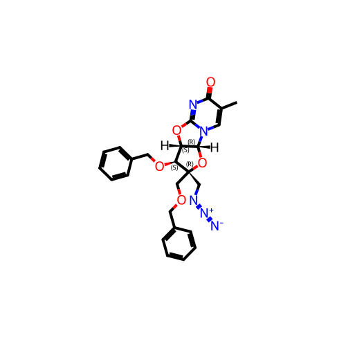 Cc1cn2c(nc1=O)O[C@@H]1[C@H]2O[C@](CN=[N+]=[N-])(COCc2ccccc2)[C@H]1OCc1ccccc1